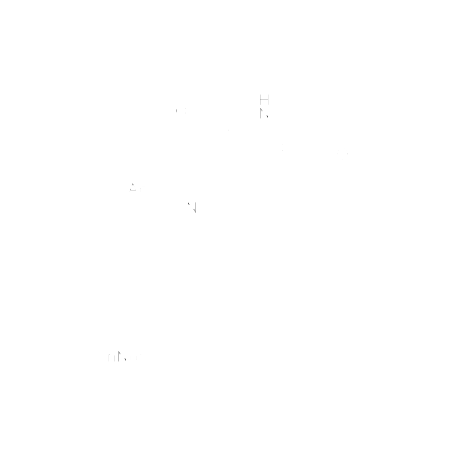 CCCCCCCCCCCCN(C(C)=O)C1CC(=O)NC1=O